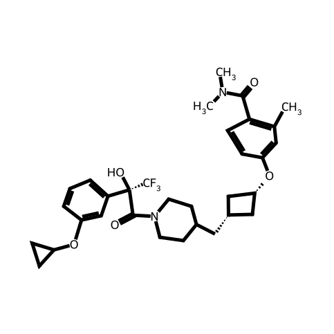 Cc1cc(O[C@H]2C[C@@H](CC3CCN(C(=O)[C@](O)(c4cccc(OC5CC5)c4)C(F)(F)F)CC3)C2)ccc1C(=O)N(C)C